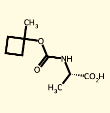 C[C@H](NC(=O)OC1(C)CCC1)C(=O)O